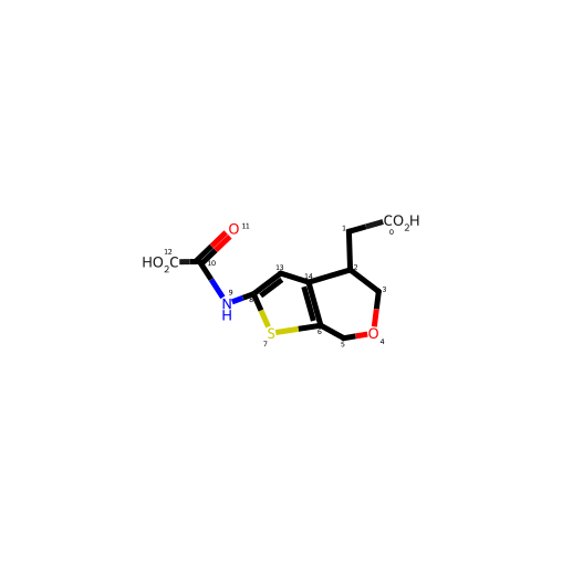 O=C(O)CC1COCc2sc(NC(=O)C(=O)O)cc21